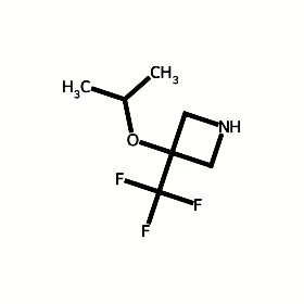 CC(C)OC1(C(F)(F)F)CNC1